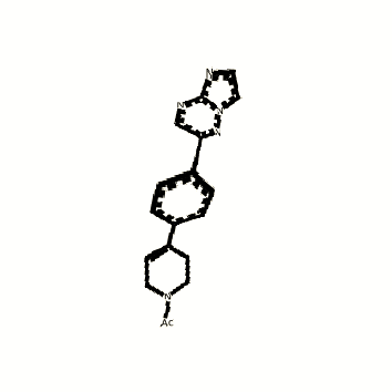 CC(=O)N1CC=C(c2ccc(-c3cnc4nc[c]n4n3)cc2)CC1